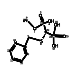 CC(C)OP(=O)(O)[C@@H](SCc1ccccn1)P(=O)(O)O